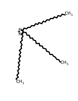 CCCCCCCCCCCCCCCCCCCCCCCc1n[c]nc(CCCCCCCCCCCCCCCCCCCCCCC)c1CCCCCCCCCCCCCCCCCCCCCCC